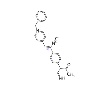 [C-]#[N+]/C(=C\c1cc[n+](Cc2ccccc2)cc1)c1ccc(C(C=N)C(C)=O)cc1